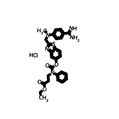 CCOC(=O)CCN(C(=O)Oc1ccc2sc(CN(C)c3ccc(C(=N)N)cc3)nc2c1)c1ccccc1.Cl